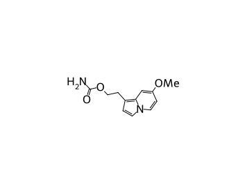 COc1ccn2ccc(CCOC(N)=O)c2c1